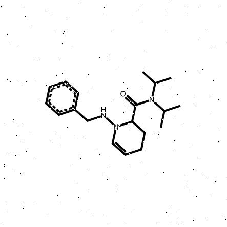 CC(C)N(C(=O)C1CCC=CN1NCc1ccccc1)C(C)C